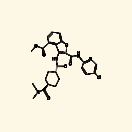 COC(=O)c1cccc2oc(C(=O)Nc3ccc(Cl)cn3)c(NC(=O)[C@H]3CC[C@H](C(=O)N(C)C)CC3)c12